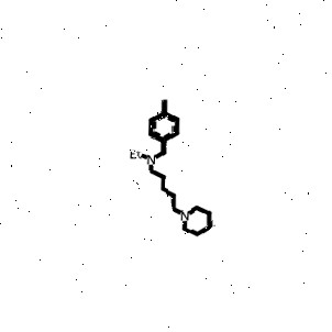 CCN(CCCCCN1CC[CH]CC1)Cc1ccc(C)cc1